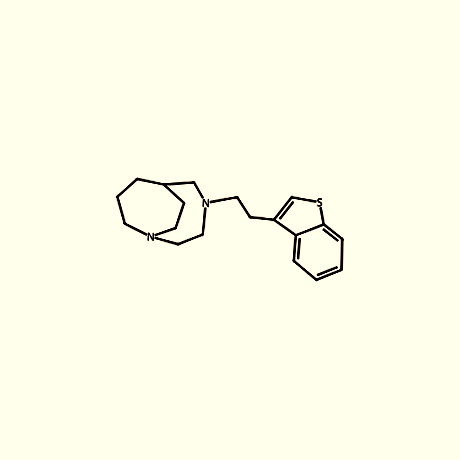 c1ccc2c(CCN3CCN4CCCC(CC4)C3)csc2c1